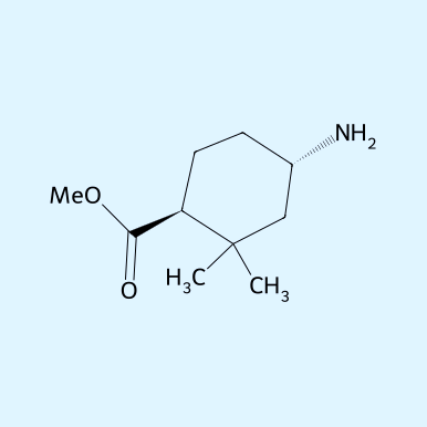 COC(=O)[C@H]1CC[C@H](N)CC1(C)C